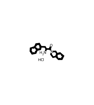 Cl.NC(Cc1ccc2ccccc2c1)C(=O)N1CCc2ccccc2C1